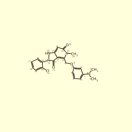 CN(C)c1cccc(OCc2c3c(=O)n(-c4ccccc4Cl)[nH]c3cc(=O)n2C)c1